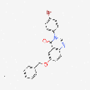 O=c1c2cc(OCc3ccccc3)ccc2ncn1-c1ccc(Br)cc1